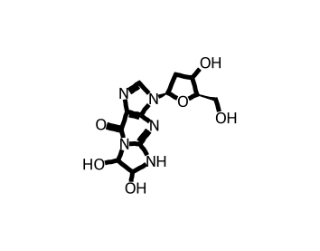 O=c1c2ncn([C@H]3CC(O)[C@@H](CO)O3)c2nc2n1C(O)C(O)N2